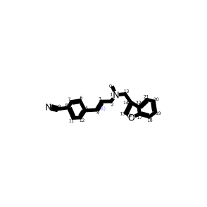 CN(C/C=C/c1ccc(C#N)cc1)Cc1coc2ccccc12